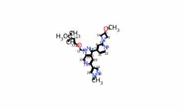 COC1CN(c2cc(-c3nn(COCC[Si](C)(C)C)c4cnc(-c5cnn(C)c5)cc34)ccn2)C1